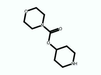 O=C(OC1CCNCC1)N1CCOCC1